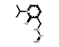 CC(C)n1cccc(CNN=N)c1=O